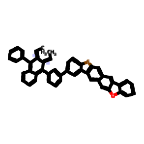 C/C=c1/c(-c2ccccc2)c2ccccc2c(-c2cccc(-c3ccc4sc5cc6cc7c(cc6cc5c4c3)oc3ccccc37)c2)/c1=C/C